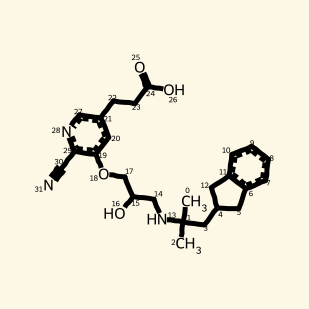 CC(C)(CC1Cc2ccccc2C1)NCC(O)COc1cc(CCC(=O)O)cnc1C#N